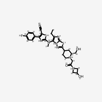 CCc1nc2sc(C3CCN(CC(=O)N4CC(O)C4)[C@H](CO)C3)nn2c1N(C)c1nc(-c2ccc(F)cc2)c(C#N)s1